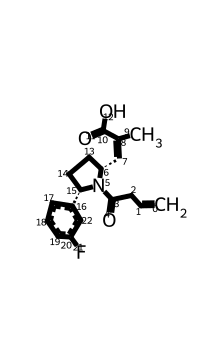 C=CCC(=O)N1[C@@H](C=C(C)C(=O)O)CC[C@H]1c1cccc(F)c1